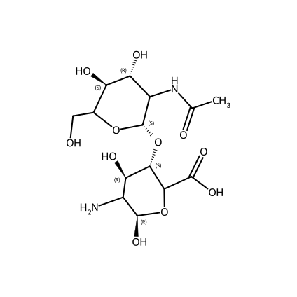 CC(=O)NC1[C@H](O[C@@H]2C(C(=O)O)O[C@@H](O)C(N)[C@H]2O)OC(CO)[C@@H](O)[C@@H]1O